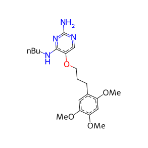 CCCCNc1nc(N)ncc1OCCCc1cc(OC)c(OC)cc1OC